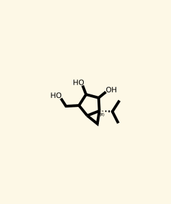 CC(C)[C@]12CC1C(CO)C(O)C2O